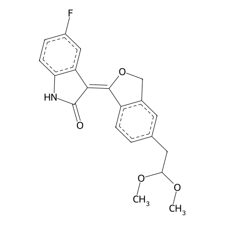 COC(Cc1ccc2c(c1)COC2=C1C(=O)Nc2ccc(F)cc21)OC